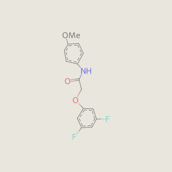 COc1ccc(NC(=O)COc2cc(F)cc(F)c2)cc1